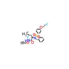 C=C(F)C[C@H](C(=O)NOC(C)(C)C)N(Cc1ccccc1)S(=O)(=O)c1ccc(OCCF)cc1